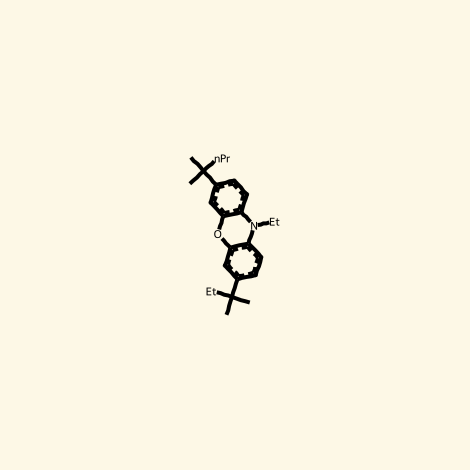 CCCC(C)(C)c1ccc2c(c1)Oc1cc(C(C)(C)CC)ccc1N2CC